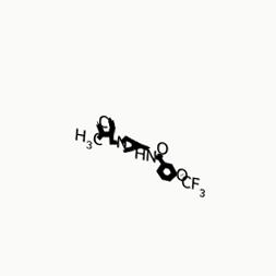 Cc1ccccc1CN1CC2C(CNC(=O)c3cccc(OC(F)(F)F)c3)C2C1